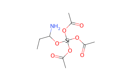 CCC(N)O[Si](OC(C)=O)(OC(C)=O)OC(C)=O